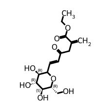 C=C(CC(=O)C=CC1O[C@H](CO)[C@@H](O)[C@H](O)[C@H]1O)C(=O)OCC